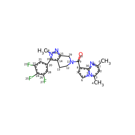 Cc1cc(C)n2ccc(C(=O)N3CCc4c(nn(C)c4-c4cc(F)c(F)c(F)c4)C3)c2n1